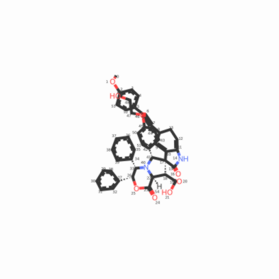 COc1ccc(C#CC2C=C3C(=CC2)NC(=O)[C@]32C(C(=O)O)[C@H]3C(=O)O[C@H](c4ccccc4)[C@H](c4ccccc4)N3[C@@H]2c2ccc(OCCO)cc2)cc1